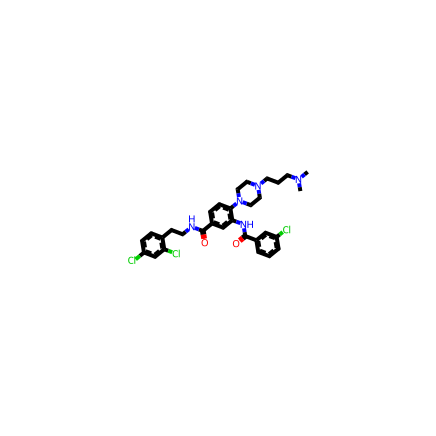 CN(C)CCCN1CCN(c2ccc(C(=O)NCCc3ccc(Cl)cc3Cl)cc2NC(=O)c2cccc(Cl)c2)CC1